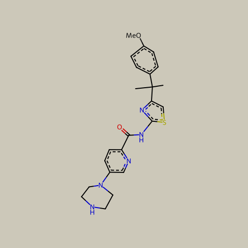 COc1ccc(C(C)(C)c2csc(NC(=O)c3ccc(N4CCNCC4)cn3)n2)cc1